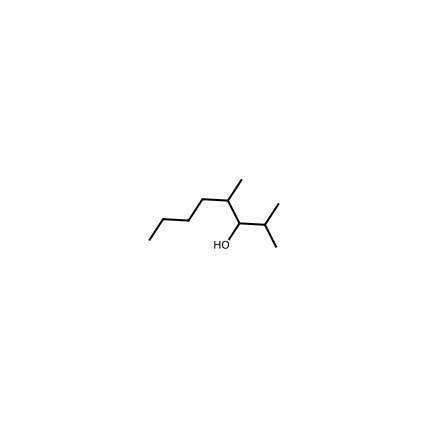 CCCCC(C)C(O)C(C)C